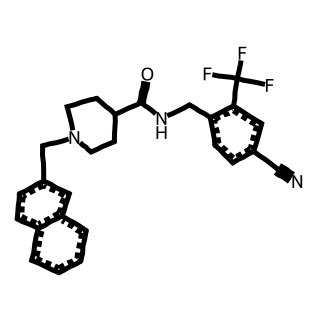 N#Cc1ccc(CNC(=O)C2CCN(Cc3ccc4ccccc4c3)CC2)c(C(F)(F)F)c1